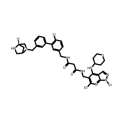 CCc1nc2c(cnn2CC)c(NC2CCOCC2)c1CNC(=O)CC(=O)NCc1ccc(Cl)c(-c2cccc(CN3C[C@@H]4CC3CN4)c2)c1